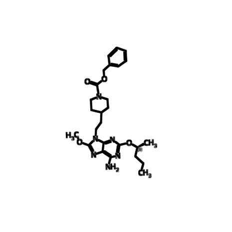 CCC[C@H](C)Oc1nc(N)c2nc(OC)n(CCC3CCN(C(=O)OCc4ccccc4)CC3)c2n1